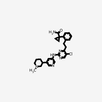 CN1CCCC(c2cncc(Nc3ncc(Cl)c(CCc4ccccc4C4(C(N)=O)CC4)n3)c2)C1